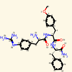 COc1ccc(C[C@H](NC(=O)[C@H](N)Cc2ccc(N=C(N)N)cc2)C(=O)N[C@@H](Cc2ccccc2)C(N)=O)cc1